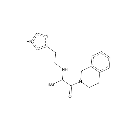 CCC(C)C(NCCc1c[nH]cn1)C(=O)N1CCc2ccccc2C1